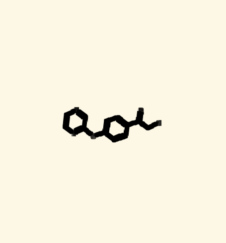 O=C(CCl)c1ccc(Oc2cnccn2)cc1